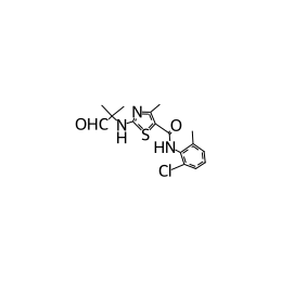 Cc1cccc(Cl)c1NC(=O)c1sc(NC(C)(C)C=O)nc1C